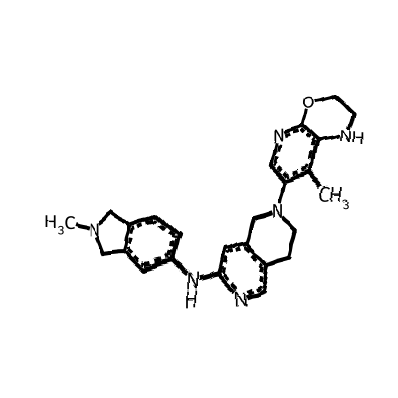 Cc1c(N2CCc3cnc(Nc4ccc5c(c4)CN(C)C5)cc3C2)cnc2c1NCCO2